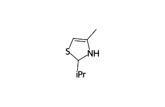 CC1=CSC(C(C)C)N1